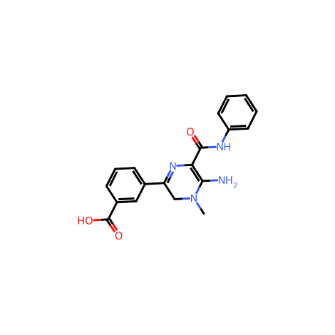 CN1CC(c2cccc(C(=O)O)c2)=NC(C(=O)Nc2ccccc2)=C1N